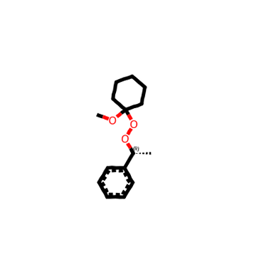 COC1(OO[C@H](C)c2ccccc2)CCCCC1